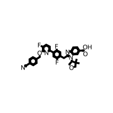 CC1(C)COCC1n1c(Cc2cc(F)c(-c3ccc(F)c(OCc4ccc(C#N)cc4)n3)cc2F)nc2ccc(C(=O)O)cc21